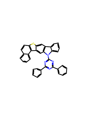 c1ccc(-c2nc(-c3ccccc3)nc(-n3c4ccccc4c4cc5sc6ccc7ccccc7c6c5cc43)n2)cc1